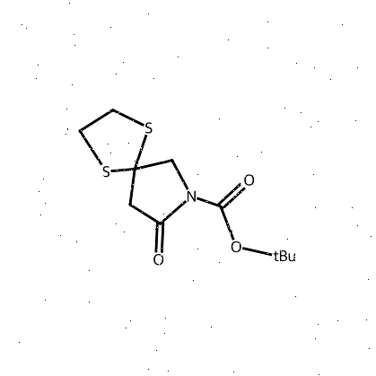 CC(C)(C)OC(=O)N1CC2(CC1=O)SCCS2